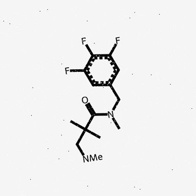 CNCC(C)(C)C(=O)N(C)Cc1cc(F)c(F)c(F)c1